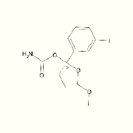 CC[C@](OCOC)(OC(N)=O)c1cccc(I)c1